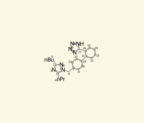 CCCCc1nc(CCC)n(Cc2ccc(-c3ccccc3-c3nnn[nH]3)cc2)n1